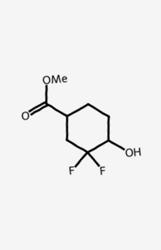 COC(=O)C1CCC(O)C(F)(F)C1